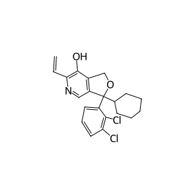 C=Cc1ncc2c(c1O)COC2(c1cccc(Cl)c1Cl)C1CCCCC1